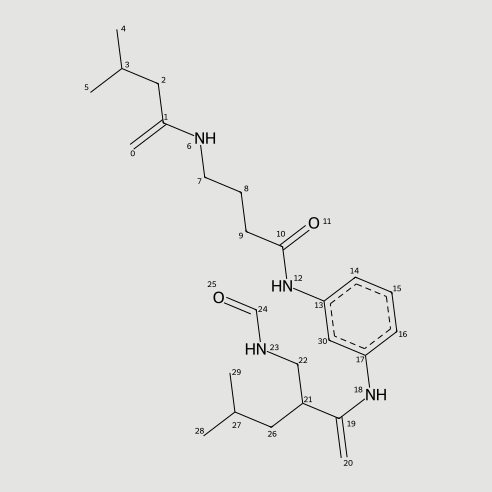 C=C(CC(C)C)NCCCC(=O)Nc1cccc(NC(=C)C(CNC=O)CC(C)C)c1